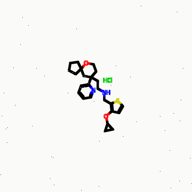 Cl.c1ccc(C2(CCNCc3sccc3OC3CC3)CCOC3(CCCC3)C2)nc1